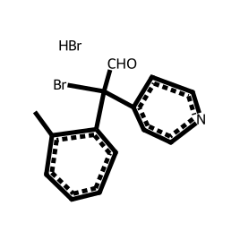 Br.Cc1ccccc1C(Br)(C=O)c1ccncc1